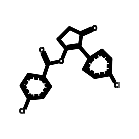 O=C1CCC(OC(=O)c2ccc(Cl)cc2)=C1c1ccc(Cl)cc1